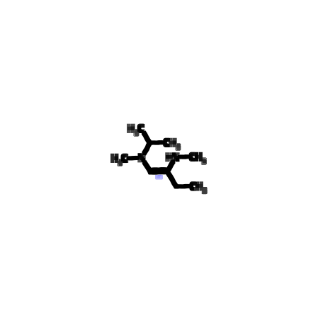 CC/C(=C/N(C)C(C)C)NC